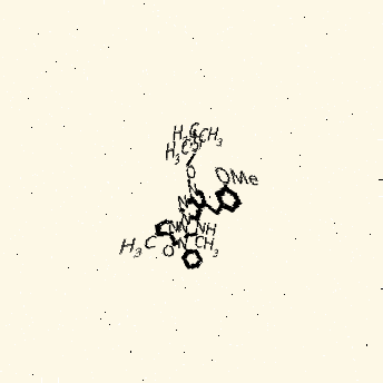 COc1cccc(Cc2cn(COCC[Si](C)(C)C)c3ncnc(NC(C)c4nn5ccc(C)c5c(=O)n4-c4ccccc4)c23)c1